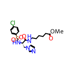 COC(=O)CCCCCNC(=O)[C@H](Cn1ccnc1)NS(=O)(=O)c1ccc(Cl)cc1